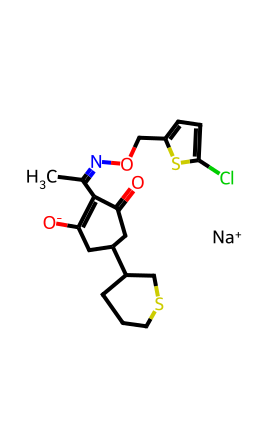 C/C(=N/OCc1ccc(Cl)s1)C1=C([O-])CC(C2CCCSC2)CC1=O.[Na+]